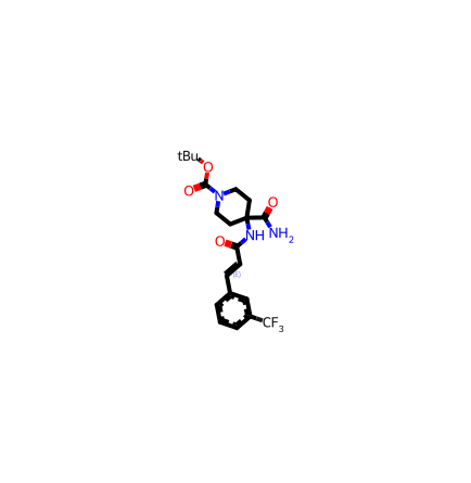 CC(C)(C)OC(=O)N1CCC(NC(=O)/C=C/c2cccc(C(F)(F)F)c2)(C(N)=O)CC1